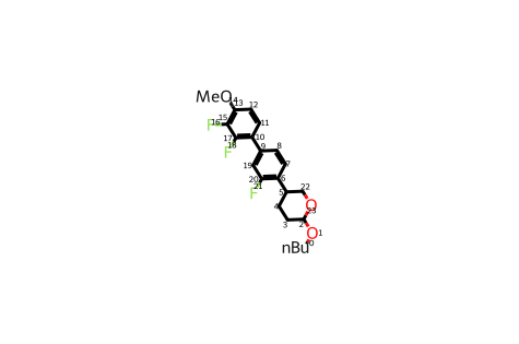 CCCCOC1CCC(c2ccc(-c3ccc(OC)c(F)c3F)cc2F)CO1